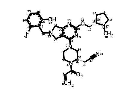 C=CC(=O)N1CCN(c2nc(OC[C@@H]3CCCN3C)nc3c2CN(Cc2c(O)cccc2F)C3)C[C@@H]1CC#N